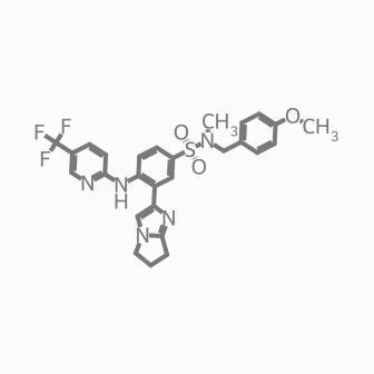 COc1ccc(CN(C)S(=O)(=O)c2ccc(Nc3ccc(C(F)(F)F)cn3)c(-c3cn4c(n3)CCC4)c2)cc1